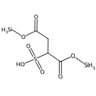 O=C(CC(C(=O)O[SiH3])S(=O)(=O)O)O[SiH3]